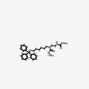 CNC(=O)NCCN(CCCCCCSC(c1ccccc1)(c1ccccc1)c1ccccc1)C(=O)OC(C)(C)C